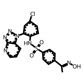 CC(=NO)c1ccc(S(=O)(=O)Nc2ccc(Cl)cc2-n2nnc3ncccc32)cc1